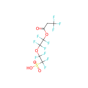 O=C(CC(F)(F)F)OC(F)(F)C(F)(F)OC(F)(F)C(F)(F)S(=O)(=O)O